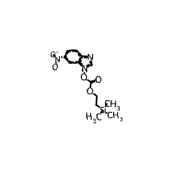 C[Si](C)(C)CCOC(=O)On1cnc2ccc([N+](=O)[O-])cc21